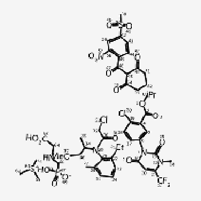 CC(C)OC(=O)c1cc(-n2c(=O)cc(C(F)(F)F)n(C)c2=O)ccc1Cl.CCc1cccc(C)c1N(C(=O)CCl)C(C)COC.CS(=O)(=O)c1ccc(C(=O)C2C(=O)CCCC2=O)c([N+](=O)[O-])c1.C[S+](C)C.O=C(O)CNCP(=O)([O-])O